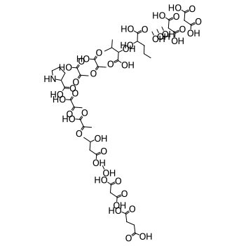 CC(=O)C(=O)O.CC(=O)C(=O)O.CC(=O)C(=O)O.CC(=O)C(=O)O.CC(C)C(O)C(=O)O.CC(O)CC(=O)O.CCCC(O)C(=O)O.CO.CO.CO.CO.O=C(O)C1CCCN1.O=C(O)CC(=O)O.O=C(O)CC(=O)O.O=C(O)CC(=O)O.O=C(O)CCC(=O)O